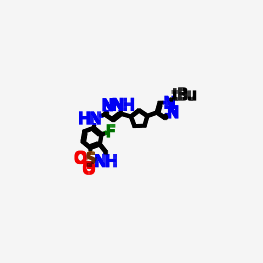 CC(C)(C)n1cc(C2CCC(c3cc(Nc4ccc5c(c4F)CNS5(=O)=O)n[nH]3)C2)cn1